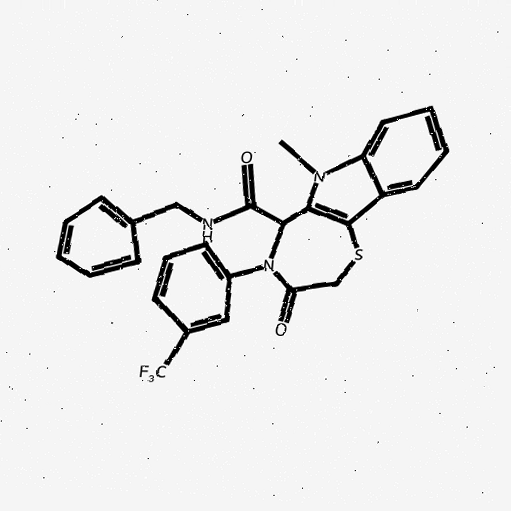 Cn1c2c(c3ccccc31)SCC(=O)N(c1cccc(C(F)(F)F)c1)C2C(=O)NCc1ccccc1